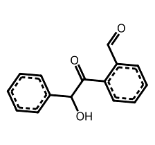 O=Cc1ccccc1C(=O)C(O)c1ccccc1